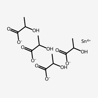 CC(O)C(=O)[O-].CC(O)C(=O)[O-].CC(O)C(=O)[O-].CC(O)C(=O)[O-].[Sn+4]